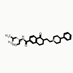 CC(C)C[C@@H](CO)NC(=O)c1ccc2c(c1)CCC(CCN1CCC(c3ccccc3)CC1)C2=O